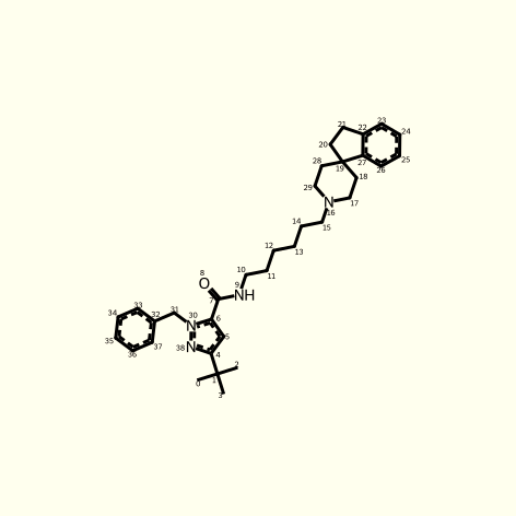 CC(C)(C)c1cc(C(=O)NCCCCCCN2CCC3(CCc4ccccc43)CC2)n(Cc2ccccc2)n1